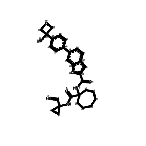 N=CC1(NC(=O)C2(NC(=O)c3cc4ccc(-c5ccc(C6(O)COC6)cc5)cc4o3)CCCCCC2)CC1